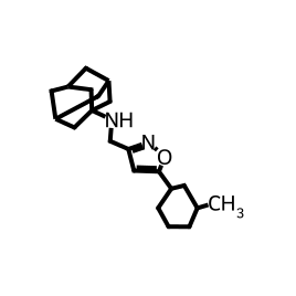 CC1CCCC(c2cc(CNC34CC5CC(CC(C5)C3)C4)no2)C1